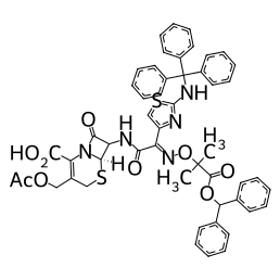 CC(=O)OCC1=C(C(=O)O)N2C(=O)C(NC(=O)/C(=N/OC(C)(C)C(=O)OC(c3ccccc3)c3ccccc3)c3csc(NC(c4ccccc4)(c4ccccc4)c4ccccc4)n3)[C@H]2SC1